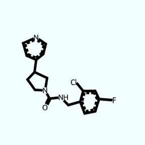 O=C(NCc1ccc(F)cc1Cl)N1CCC(c2ccncc2)C1